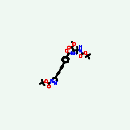 COC(=O)[C@@H](NC(=O)c1ccc(C#CC#CC2C=NN(C(=O)OC(C)(C)C)C2)cc1)C(C)(C)NC(=O)OC(C)(C)C